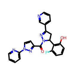 O=C(c1ccn(-c2ccccn2)n1)N1N=C(c2cccnc2)CC1c1c(O)cccc1F